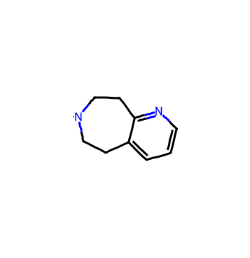 c1cnc2c(c1)CC[N]CC2